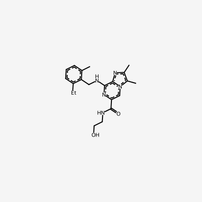 CCc1cccc(C)c1CNc1nc(C(=O)NCCO)cn2c(C)c(C)nc12